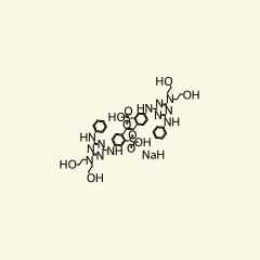 O=S(=O)(O)c1cc(Nc2nc(Nc3ccccc3)nc(N(CCO)CCO)n2)ccc1C=Cc1ccc(Nc2nc(Nc3ccccc3)nc(N(CCO)CCO)n2)cc1S(=O)(=O)O.[NaH]